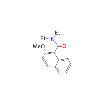 CCN(CC)C(=O)c1c(OC)ccc2ccccc12